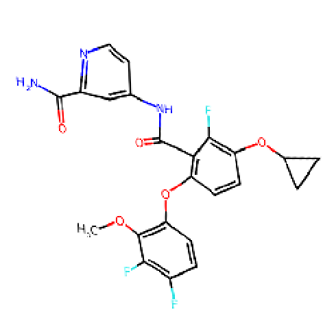 COc1c(Oc2ccc(OC3CC3)c(F)c2C(=O)Nc2ccnc(C(N)=O)c2)ccc(F)c1F